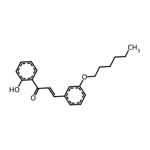 CCCCCCOc1cccc(C=CC(=O)c2ccccc2O)c1